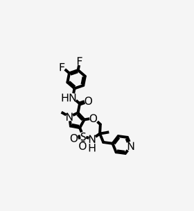 Cn1cc2c(c1C(=O)Nc1ccc(F)c(F)c1)OCC(C)(Cc1ccncc1)NS2(=O)=O